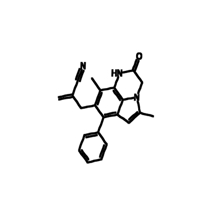 C=C(C#N)Cc1c(C)c2c3c(cc(C)n3CC(=O)N2)c1-c1ccccc1